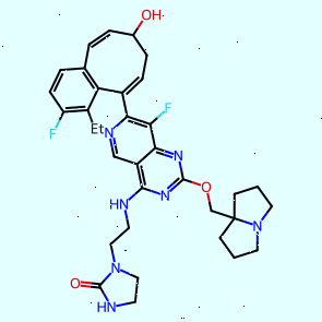 CCc1c(F)ccc2c1/C(c1ncc3c(NCCN4CCNC4=O)nc(OCC45CCCN4CCC5)nc3c1F)=C\CC(O)/C=C\2